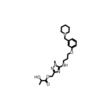 CC(O)C(=O)OCc1nc(NCCCOc2cccc(CN3CCCCC3)c2)n(C)n1